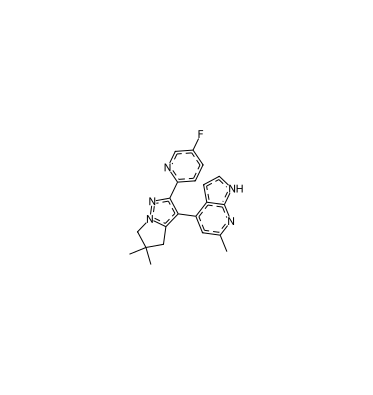 Cc1cc(-c2c(-c3ccc(F)cn3)nn3c2CC(C)(C)C3)c2cc[nH]c2n1